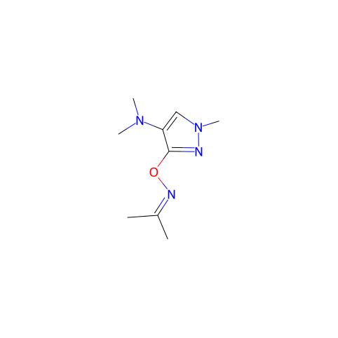 CC(C)=NOc1nn(C)cc1N(C)C